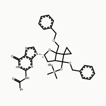 CC(C)C(=O)Nc1nc2c(ncn2[C@H]2CC3C(COCc4ccccc4)(O2)C2(CC2)C3(OCc2ccccc2)O[Si](C)(C)C(C)(C)C)c(=O)[nH]1